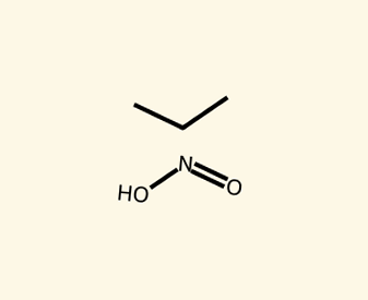 CCC.O=NO